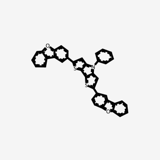 c1ccc(-n2c3cc(-c4ccc5oc6ccccc6c5c4)sc3c3sc(-c4ccc5oc6ccccc6c5c4)cc32)cc1